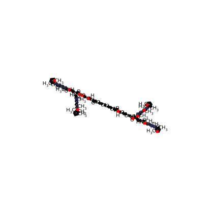 CC1=C(/C=C/C(C)=C/C=C/C(C)=C/C(=O)NCCCC[C@@H](NC(=O)/C=C(C)/C=C/C=C(C)/C=C/C2=C(C)CCCC2(C)C)C(=O)NCCOCCOCCNC(=O)CCOCCOCCOCCOCCC(=O)NCCOCCOCCNC(=O)[C@@H](CCCCNC(=O)/C=C(C)/C=C/C=C(C)/C=C/C2=C(C)CCCC2(C)C)NC(=O)/C=C(C)/C=C/C=C(C)/C=C/C2=C(C)CCCC2(C)C)C(C)(C)CCC1